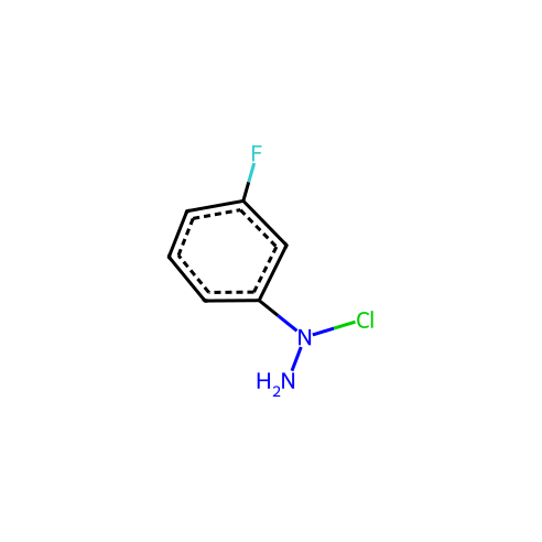 NN(Cl)c1cccc(F)c1